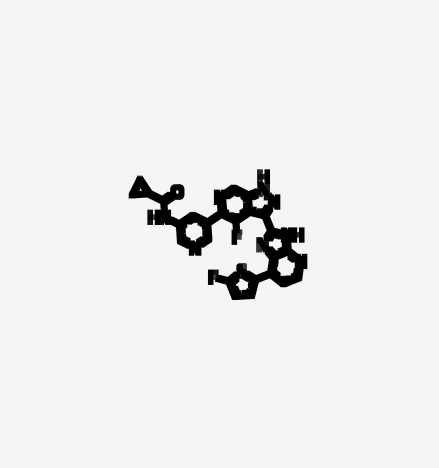 O=C(Nc1cncc(-c2ncc3[nH]nc(-c4nc5c(-c6ccc(F)s6)ccnc5[nH]4)c3c2F)c1)C1CC1